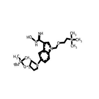 CC(C)(C)[Si](C)(C)O[C@H]1CCN(c2ccc3c(c2)c(C(=N)NO)cn3COCC[Si](C)(C)C)C1